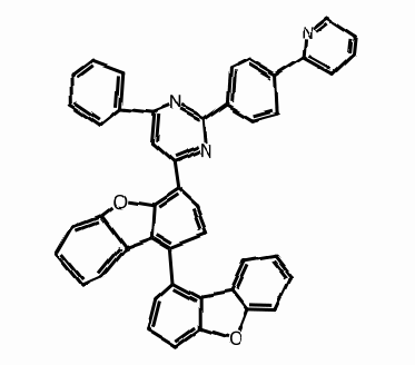 c1ccc(-c2cc(-c3ccc(-c4cccc5oc6ccccc6c45)c4c3oc3ccccc34)nc(-c3ccc(-c4ccccn4)cc3)n2)cc1